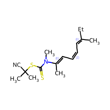 CC/C(C)=C/C=C\C=C(/C)N(C)C(=S)SC(C)(C)C#N